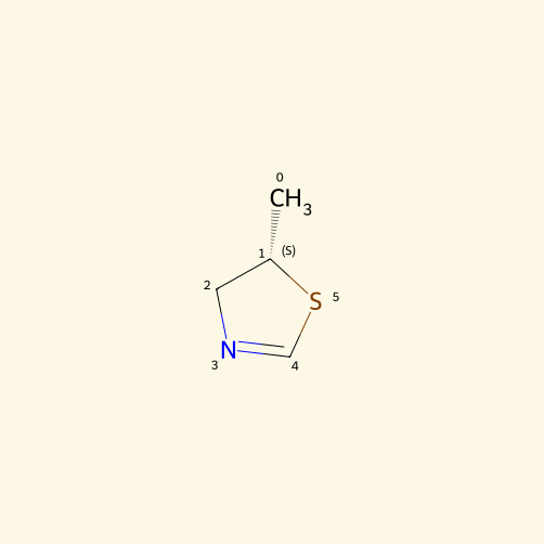 C[C@H]1CN=CS1